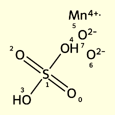 O=S(=O)(O)O.[Mn+4].[O-2].[O-2]